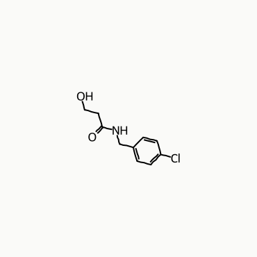 O=C(CCO)NCc1ccc(Cl)cc1